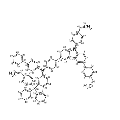 C=Cc1ccc(-c2ccc3c(c2)c2cc(-c4ccc(N(c5ccc(-c6ccccc6)cc5)c5ccc6c(c5)C(c5ccccc5)(c5ccc(C=C)cc5)c5ccccc5-6)cc4)ccc2n3-c2ccc(C=C)cc2)cc1